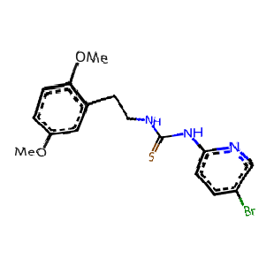 COc1ccc(OC)c(CCNC(=S)Nc2ccc(Br)cn2)c1